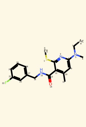 CCSc1nc(N(C)CC(C)=O)cc(C)c1C(=O)NCc1cccc(F)c1